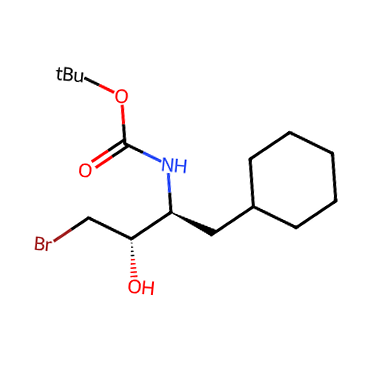 CC(C)(C)OC(=O)N[C@@H](CC1CCCCC1)[C@H](O)CBr